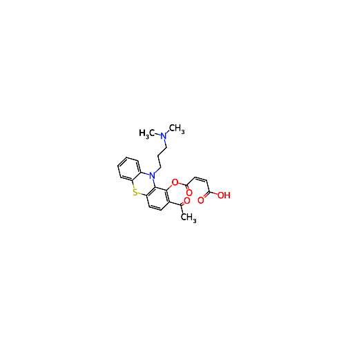 CC(=O)c1ccc2c(c1OC(=O)/C=C\C(=O)O)N(CCCN(C)C)c1ccccc1S2